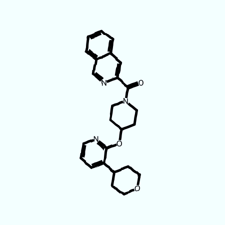 O=C(c1cc2ccccc2cn1)N1CCC(Oc2ncccc2C2CCOCC2)CC1